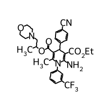 CCOC(=O)C1=C(N)N(c2cccc(C(F)(F)F)c2)C(C)=C(C(=O)OC(C)CN2CCOCC2)C1c1ccc(C#N)cc1